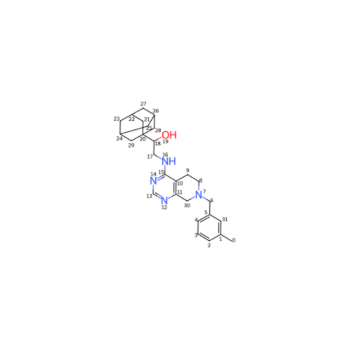 Cc1cccc(CN2CCc3c(ncnc3NCC(O)C34CC5CC(CC(C5)C3)C4)C2)c1